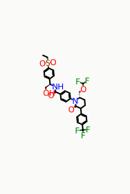 CCS(=O)(=O)c1ccc([C@H](CO)NC(=O)c2ccc(N3C(=O)C(c4ccc(C(F)(F)F)cc4)CC[C@H]3COC(F)F)cc2)cc1